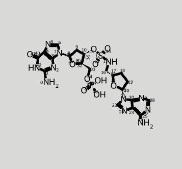 Nc1nc2c(ncn2[C@H]2C[C@H](OS(=O)(=O)NC[C@@H]3CC[C@H](n4cnc5c(N)ncnc54)O3)[C@@H](COP(=O)(O)O)O2)c(=O)[nH]1